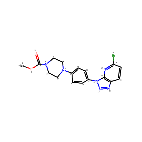 CC(C)(C)OC(=O)N1CCN(c2ccc(-n3nnc4ccc(Br)nc43)cc2)CC1